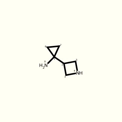 NC1(C2CNC2)CC1